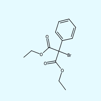 CCOC(=O)C(Br)(C(=O)OCC)c1ccccc1